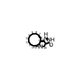 O=C1NNC2=C3C=CCCCCCCCCC3NCC12